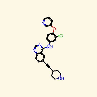 Clc1cc(Nc2ncnc3ccc(C#CC4CCNCC4)cc23)ccc1Oc1cccnc1